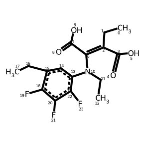 CCC(C(=O)O)=C(C(=O)O)N(CC)c1cc(CC)c(F)c(F)c1F